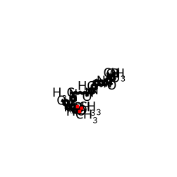 CC[C@@]1(O)C(=O)OCc2c1cc1n(c2=O)Cc2cc3c(CN4CCN(C(=O)CCCCCN(C)c5ccc([C@H]6C[C@@]7(C)[C@@H](CC[C@]7(OC(C)=O)C(C)=O)[C@@H]7CCC8=CC(=O)CCC8=C76)cc5)CC4)c(O)ccc3nc2-1